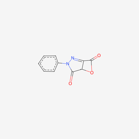 O=C1O[C]2C(=O)N(c3ccccc3)N=C21